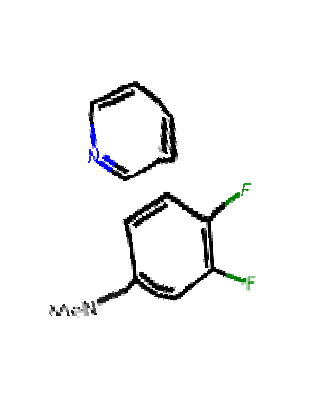 CNc1ccc(F)c(F)c1.c1ccncc1